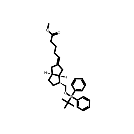 COC(=O)CCC/C=C1\C[C@@H]2CC[C@H](CO[Si](c3ccccc3)(c3ccccc3)C(C)(C)C)[C@H]2C1